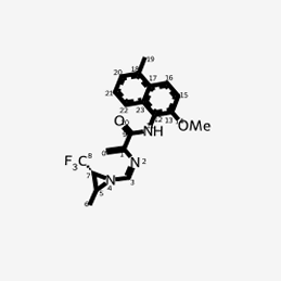 C=C(/N=C\N1C(C)[C@@H]1C(F)(F)F)C(=O)Nc1c(OC)ccc2c(C)cccc12